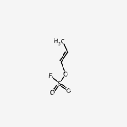 CC=COS(=O)(=O)F